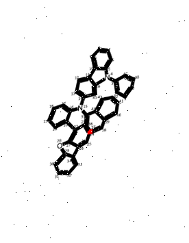 c1ccc(-n2c3ccccc3c3ccc(N(c4ccccc4-c4cccc5c4oc4ccccc45)c4cccc5ccccc45)cc32)cc1